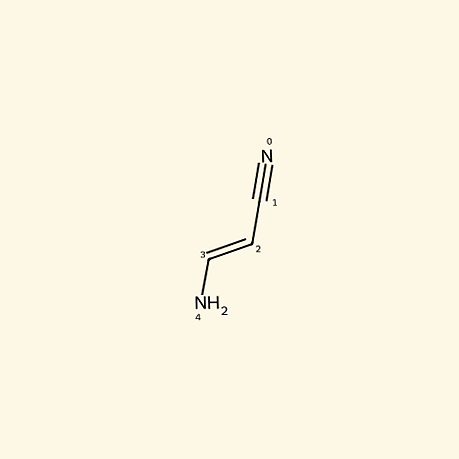 N#CC=CN